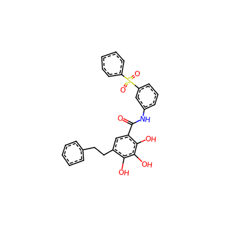 O=C(Nc1cccc(S(=O)(=O)c2ccccc2)c1)c1cc(CCc2ccccc2)c(O)c(O)c1O